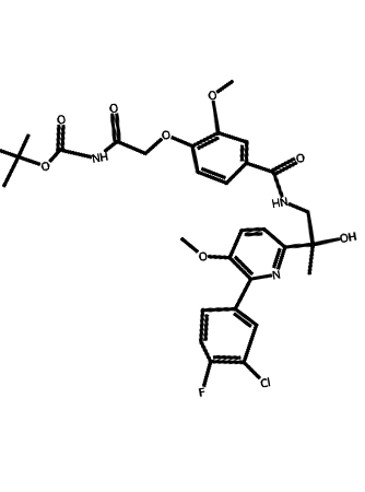 COc1cc(C(=O)NCC(C)(O)c2ccc(OC)c(-c3ccc(F)c(Cl)c3)n2)ccc1OCC(=O)NC(=O)OC(C)(C)C